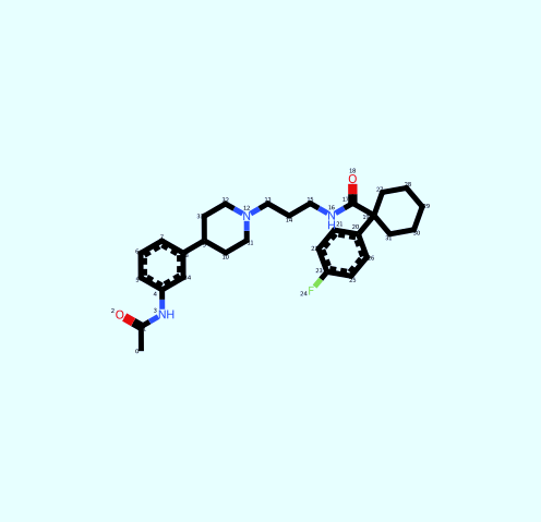 CC(=O)Nc1cccc(C2CCN(CCCNC(=O)C3(c4ccc(F)cc4)CCCCC3)CC2)c1